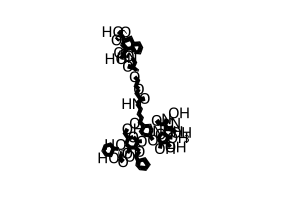 CC1OC(OC2C(NC(=O)c3cc(O)nc(O)n3)CC(C(=O)CCCNC(=O)COCCOCC(=O)CNc3cccc4cc(S(=O)(=O)O)cc(S(=O)(=O)O)c34)CC2OC2OC(CO)C(O)C(O[C@@H](CC3CCCCC3)C(=O)O)C2OC(=O)c2ccccc2)C(O)C(O)C1O